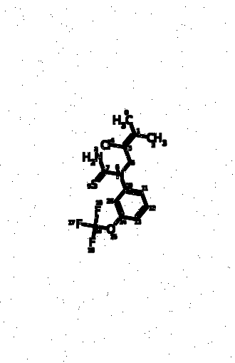 CC(C)=C(Cl)CN(C(N)=S)c1cccc(OC(F)(F)F)c1